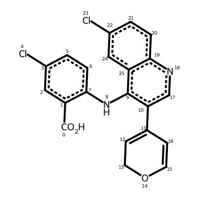 O=C(O)c1cc(Cl)ccc1Nc1c(C2=CCOC=C2)cnc2ccc(Cl)cc12